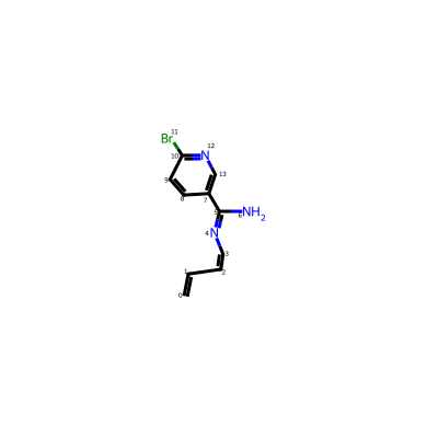 C=C/C=C\N=C(/N)c1ccc(Br)nc1